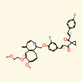 C=C1C=CN=C(COc2ccc(/C=C/C(=O)C3(C(=O)/C=C/c4ccc(F)cc4)CC3)cc2F)C2=C1/C=C(/OCCOC)C(OC)=C=CC2